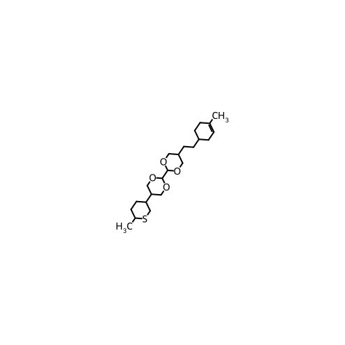 CC1=CCC(CCC2COC(C3OCC(C4CCC(C)SC4)CO3)OC2)CC1